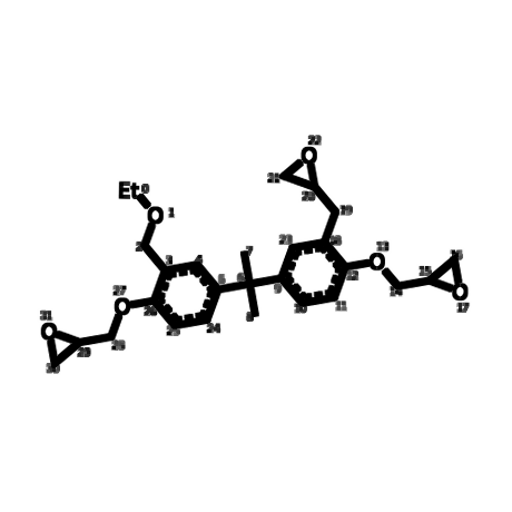 CCOCc1cc(C(C)(C)c2ccc(OCC3CO3)c(CC3CO3)c2)ccc1OCC1CO1